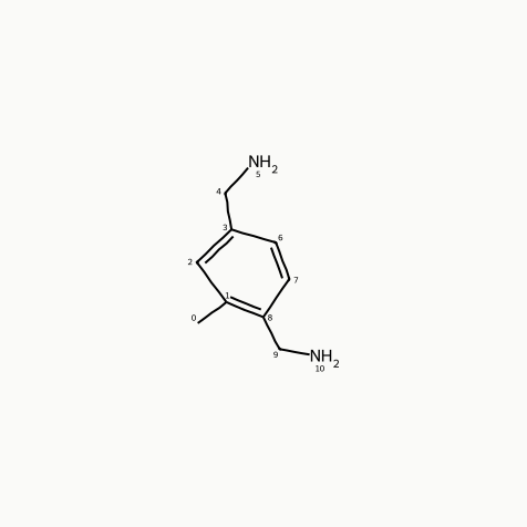 Cc1cc(CN)ccc1CN